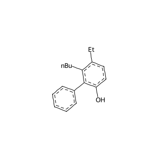 CCCCc1c(CC)ccc(O)c1-c1ccccc1